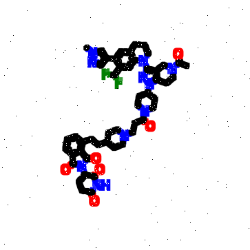 CC(=O)N1CCc2c(c(N3CCCc4cc(-c5cnn(C)c5)c(C(F)F)cc43)nn2C2CCN(C(=O)CCN3CCC(CCc4cccc5c4C(=O)N(C4CCC(=O)NC4=O)C5=O)CC3)CC2)C1